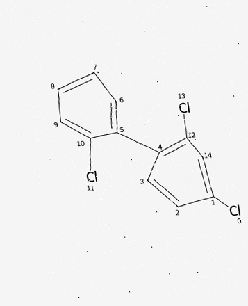 Clc1ccc(-c2c[c]ccc2Cl)c(Cl)c1